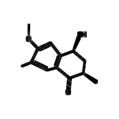 COc1cc2c(cc1C)C(=O)[C@H](C)C[C@@H]2O